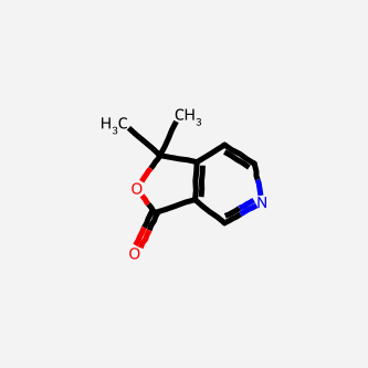 CC1(C)OC(=O)c2cnccc21